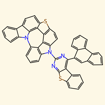 c1ccc2c(c1)cc(-c1nc(-n3c4ccc5sc6ccc7c8ccccc8n8c9cccc3c9c4c5c6c78)nc3sc4ccccc4c13)c1ccccc12